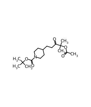 CC(=O)OC(C)(C)C(=O)CCC1CCN(C(=O)OC(C)(C)C)CC1